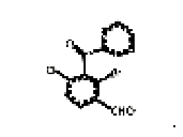 O=[C]c1ccc(Cl)c(C(=O)c2ccccc2)c1Br